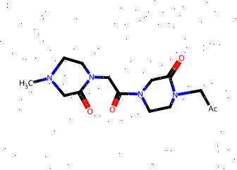 CC(=O)CN1CCN(C(=O)CN2CCN(C)CC2=O)CC1=O